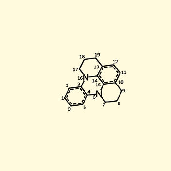 c1ccc2c(c1)N1CCCc3ccc4c(c31)N2CCC4